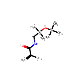 C=C(C)C(=O)NC[Si](C)(C)O[Si](C)(C)C